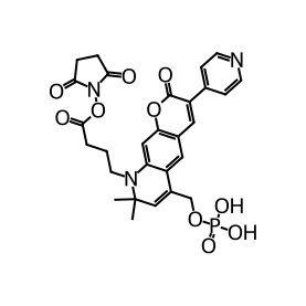 CC1(C)C=C(COP(=O)(O)O)c2cc3cc(-c4ccncc4)c(=O)oc3cc2N1CCCC(=O)ON1C(=O)CCC1=O